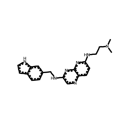 CN(C)CCNc1ccc2ncc(NCc3ccc4cc[nH]c4c3)nc2n1